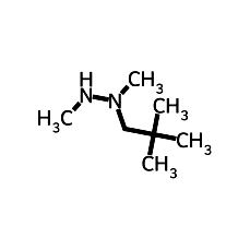 CNN(C)CC(C)(C)C